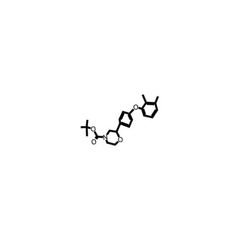 Cc1cccc(Oc2ccc(C3CN(C(=O)OC(C)(C)C)CCO3)cc2)c1C